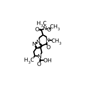 CON(C)C(=O)C1CN(C)C(=O)c2c3c(nn2C1)CC(C)N(C(=O)O)C3